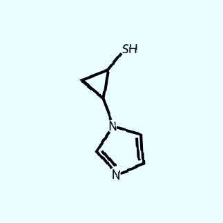 SC1CC1n1ccnc1